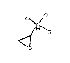 Cl[PH](Cl)(Cl)C1CO1